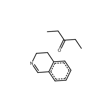 C1=NCCc2ccccc21.CCC(=O)CC